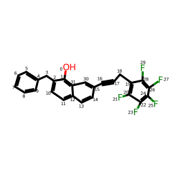 Oc1c(Cc2ccccc2)ccc2ccc(C#CCc3c(F)c(F)c(F)c(F)c3F)cc12